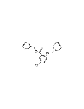 O=C(OCc1ccccc1)c1cc(Cl)ccc1NCc1ccccc1